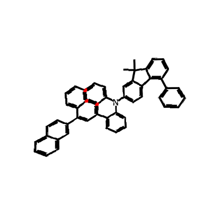 CC1(C)c2cc(N(c3ccccc3)c3ccccc3-c3cc(-c4ccc5ccccc5c4)c4ccccc4c3)ccc2-c2c(-c3ccccc3)cccc21